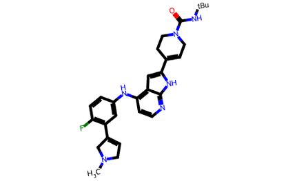 CN1CC=C(c2cc(Nc3ccnc4[nH]c(C5=CCN(C(=O)NC(C)(C)C)CC5)cc34)ccc2F)C1